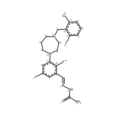 NC(=S)N/N=C/c1cc(F)cc(N2CCCN(Cc3c(F)cccc3Cl)CC2)c1F